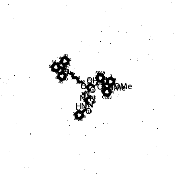 COc1cccc(C(OC[C@H]2O[C@@H](n3cnc4c(NC(=O)c5ccccc5)ncnc43)[C@H](OCCCCCCSC(c3ccccc3)(c3ccccc3)c3ccccc3)[C@@H]2O)(c2ccccc2)c2ccccc2)c1OC